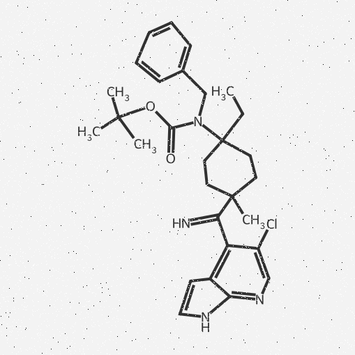 CCC1(N(Cc2ccccc2)C(=O)OC(C)(C)C)CCC(C)(C(=N)c2c(Cl)cnc3[nH]ccc23)CC1